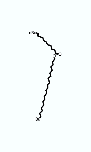 CCCCC=CCCCCCCCC(=O)OCCCCCCCCCCCCCCCCCCCCCC(C)CC